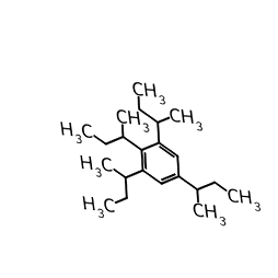 CCC(C)c1cc(C(C)CC)c(C(C)CC)c(C(C)CC)c1